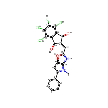 Cn1c(-c2ccccc2)cc2oc(C=C3C(=O)c4c(Cl)c(Cl)c(Cl)c(Cl)c4C3=O)nc21